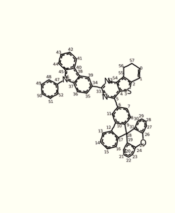 C1=Cc2sc3c(-c4ccc5c(c4)-c4ccccc4C54c5ccccc5Oc5ccccc54)nc(-c4ccc5c(c4)c4ccccc4n5-c4ccccc4)nc3c2CC1